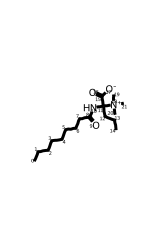 CCCCCCCCC(=O)NC(CCC)(C(=O)[O-])[N+](C)(C)C